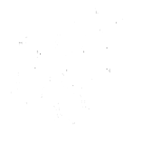 CN(c1ccc(C(F)(F)F)cc1)c1cccc2c1oc1c(C#N)cccc12